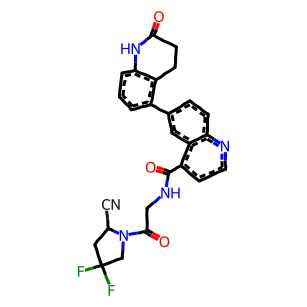 N#CC1CC(F)(F)CN1C(=O)CNC(=O)c1ccnc2ccc(-c3cccc4c3CCC(=O)N4)cc12